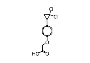 O=C(O)COc1ccc(C2CC2(Cl)Cl)cc1